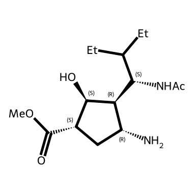 CCC(CC)[C@H](NC(C)=O)[C@@H]1[C@H](O)[C@@H](C(=O)OC)C[C@H]1N